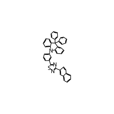 c1ccc(C2(c3ccccc3)c3ccccc3N(c3cccc(-c4nc(-c5ccc6ccccc6c5)ns4)c3)c3ccccc32)cc1